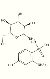 CC(=O)Nc1cc(O)ccc1[As](=O)(O)O.NC1O[C@H](CO)[C@@H](O)[C@H](O)[C@H]1O